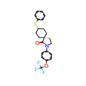 O=C1N(c2ccc(OC(F)(F)F)cc2)CC[C@]12CC[C@H](Sc1ccccc1)CC2